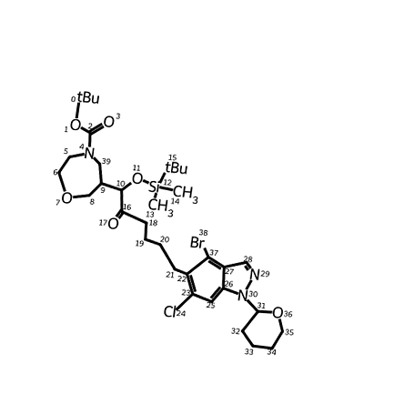 CC(C)(C)OC(=O)N1CCOCC(C(O[Si](C)(C)C(C)(C)C)C(=O)CCCCc2c(Cl)cc3c(cnn3C3CCCCO3)c2Br)C1